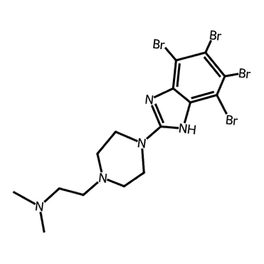 CN(C)CCN1CCN(c2nc3c(Br)c(Br)c(Br)c(Br)c3[nH]2)CC1